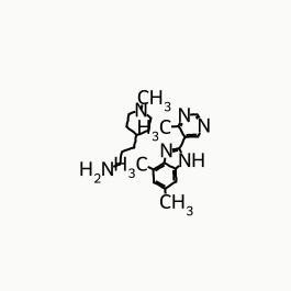 CN1CCC(CCCN)CC1.Cc1cc(C)c2nc(-c3cncnc3C)[nH]c2c1